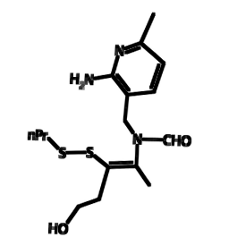 CCCSSC(CCO)=C(C)N(C=O)Cc1ccc(C)nc1N